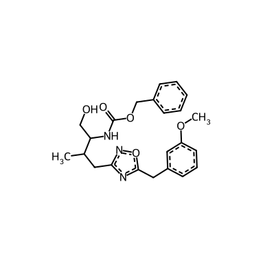 COc1cccc(Cc2nc(CC(C)C(CO)NC(=O)OCc3ccccc3)no2)c1